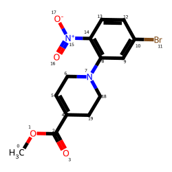 COC(=O)C1=CCN(c2cc(Br)ccc2[N+](=O)[O-])CC1